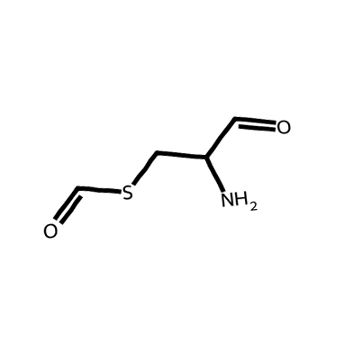 NC(C=O)CSC=O